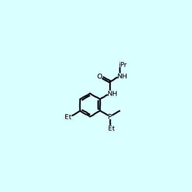 CCc1ccc(NC(=O)NC(C)C)c(P(C)CC)c1